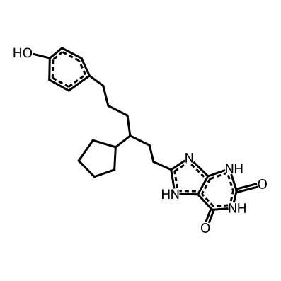 O=c1[nH]c(=O)c2[nH]c(CCC(CCCc3ccc(O)cc3)C3CCCC3)nc2[nH]1